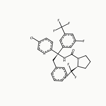 O=C(N[C@@](Cc1ccccc1)(c1cc(F)cc(C(F)(F)F)c1)c1ccc(Cl)cn1)N1CCC[C@H]1C(F)(F)F